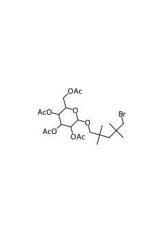 CC(=O)OCC1OC(OCC(C)(C)CC(C)(C)CBr)C(OC(C)=O)C(OC(C)=O)C1OC(C)=O